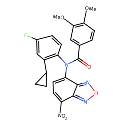 COc1ccc(C(=O)N(c2ccc(F)cc2C2CC2)c2ccc([N+](=O)[O-])c3nonc23)cc1OC